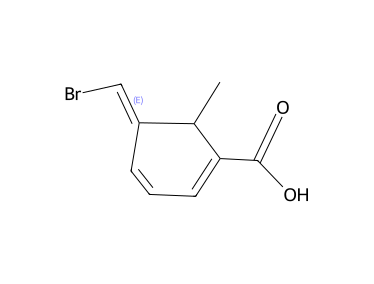 CC1C(C(=O)O)=CC=C/C1=C\Br